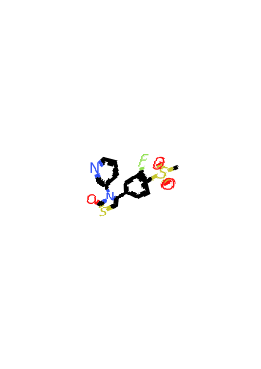 CS(=O)(=O)c1ccc(-c2csc(=O)n2-c2cccnc2)cc1F